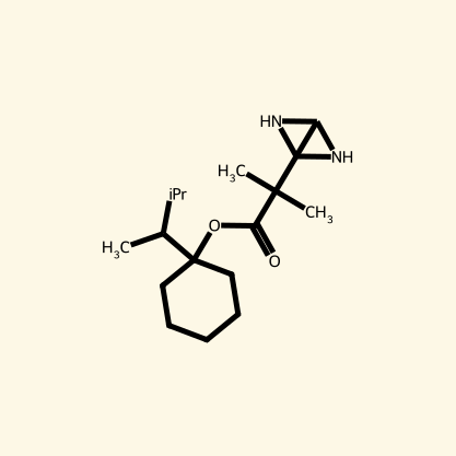 CC(C)C(C)C1(OC(=O)C(C)(C)C23NC2N3)CCCCC1